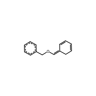 C1=CCC(=COCc2ccccc2)C=C1